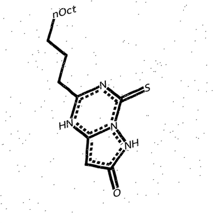 CCCCCCCCCCCc1nc(=S)n2[nH]c(=O)cc2[nH]1